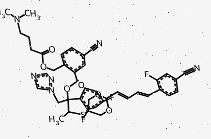 CC(SC1COC(C=CC=Cc2ccc(C#N)cc2F)OC1)C(Cn1cncn1)(OC(=O)c1cc(C#N)ccc1COC(=O)CCCN(C)C)c1ccc(F)cc1F